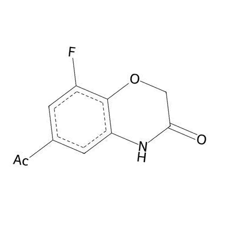 CC(=O)c1cc(F)c2c(c1)NC(=O)CO2